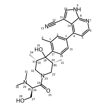 Cc1cc(-c2ccnc3[nH]cc(C#N)c23)ccc1C1(O)[C@H](C)CN(C(=O)[C@@H](CO)N(C)C)C[C@@H]1C